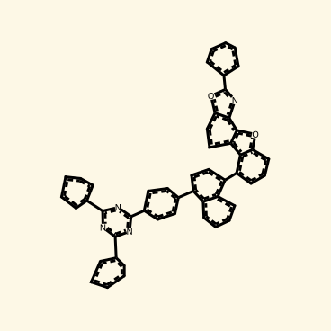 c1ccc(-c2nc(-c3ccccc3)nc(-c3ccc(-c4ccc(-c5cccc6oc7c(ccc8oc(-c9ccccc9)nc87)c56)c5ccccc45)cc3)n2)cc1